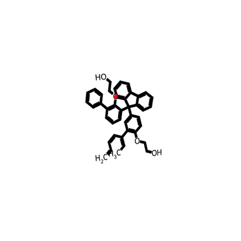 C=C/C=C\C(=C/C)c1cc(C2(c3cccc(-c4ccccc4)c3OCCO)c3ccccc3-c3ccccc32)ccc1OCCO